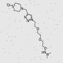 CN(C)NOCCOCCOCCn1cc(CN2CC[S+]([O-])CC2)nn1